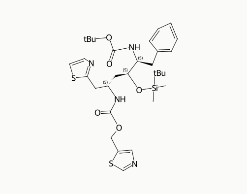 CC(C)(C)OC(=O)N[C@@H](Cc1ccccc1)[C@H](C[C@@H](Cc1nccs1)NC(=O)OCc1cncs1)O[Si](C)(C)C(C)(C)C